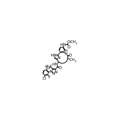 COC(=O)Nc1ccc2c(c1)NC(=O)[C@H](C)CCC[C@H](NC(=O)c1nnn(-c3c(C)ccc(Cl)c3F)c1C)c1c[nH]c-2n1